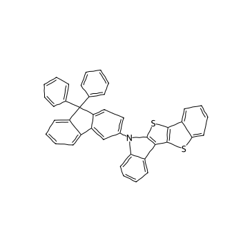 c1ccc(C2(c3ccccc3)c3ccccc3-c3cc(-n4c5ccccc5c5c6sc7ccccc7c6sc54)ccc32)cc1